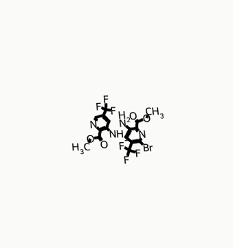 COC(=O)c1nc(Br)c(C(F)(F)F)cc1N.COC(=O)c1ncc(C(F)(F)F)cc1N